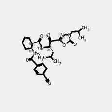 CC(C)C[C@H](NC(=O)[C@@H]1CCCC[C@@H]1NC(=O)c1ccc(C#N)cc1)C(=O)c1nn(CC(C)C)c(=O)o1